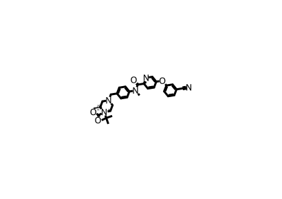 C[C@H]1CN(Cc2ccc(N(C)C(=O)c3ccc(Oc4cccc(C#N)c4)cn3)cc2)CC[N+]1(C(=O)[O-])C(C)(C)C